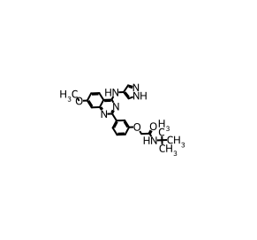 COc1ccc2c(Nc3cn[nH]c3)nc(-c3cccc(OCC(=O)NC(C)(C)C)c3)nc2c1